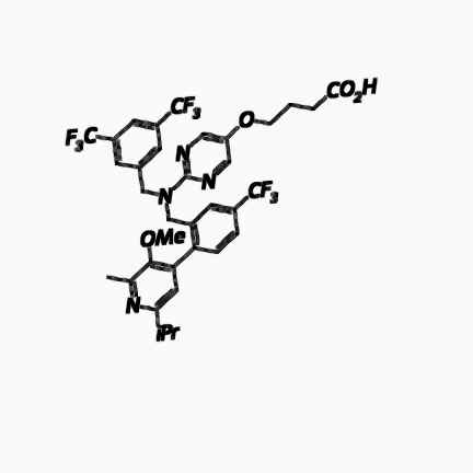 COc1c(-c2ccc(C(F)(F)F)cc2CN(Cc2cc(C(F)(F)F)cc(C(F)(F)F)c2)c2ncc(OCCCC(=O)O)cn2)cc(C(C)C)nc1C